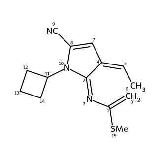 C=C(/N=C1\C(=C/C)C=C(C#N)N1C1CCC1)SC